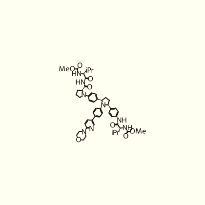 COC(=O)N[C@H](C(=O)NC(=O)[C@@H]1CCCN1c1ccc([C@H]2CC[C@@H](c3ccc(NC(=O)[C@@H](NC(=O)OC)C(C)C)cc3)N2c2ccc(-c3ccc(N4CCOCC4)nc3)cc2)cc1)C(C)C